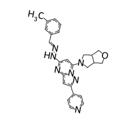 Cc1cccc(C=NNc2cc(N3CC4COCC4C3)n3nc(-c4ccncc4)cc3n2)c1